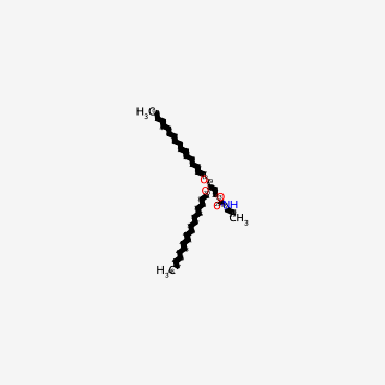 CCCCCCCCCCCCCCCCCCOC[C@H](CCOC(=O)NCCC)OCCCCCCCCCCCCCCCCCC